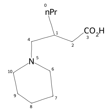 CCCC(CC(=O)O)CN1CCCCC1